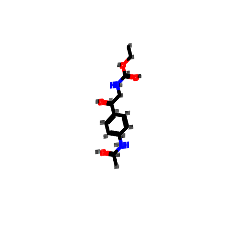 CCOC(=O)NCC(=O)c1ccc(NC(C)=O)cc1